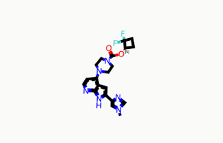 Cn1cnc(-c2cc3c(N4CCN(C(=O)O[C@H]5CCC5(F)F)CC4)ccnc3[nH]2)c1